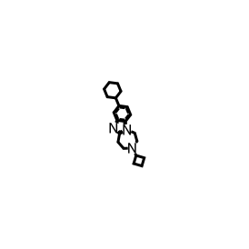 c1cc2c(cc1C1CCCCC1)nc1n2CCN(C2CCC2)CC1